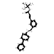 CC(C)(C)OC(=O)C=Cc1cccc(COc2ccc(-c3ccccc3)cc2)c1